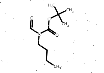 CCCCN(C=O)C(=O)OC(C)(C)C